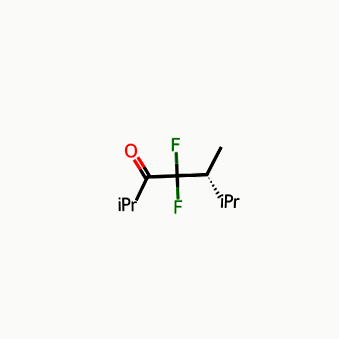 CC(C)C(=O)C(F)(F)[C@H](C)C(C)C